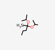 CCCC([SiH3])(OC(C)C)OC(C)C